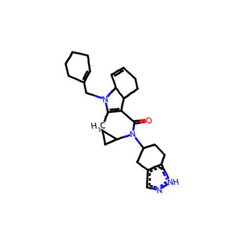 CC1=C(C(=O)N(C2CC2)C2CCc3[nH]ncc3C2)C2CCC=CC2N1CC1=CCCCC1